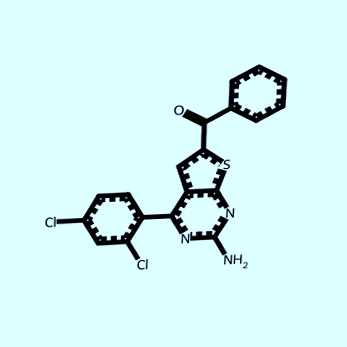 Nc1nc(-c2ccc(Cl)cc2Cl)c2cc(C(=O)c3ccccc3)sc2n1